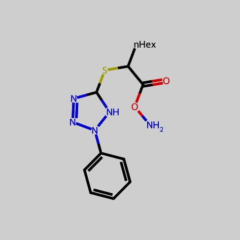 CCCCCCC(SC1N=NN(c2ccccc2)N1)C(=O)ON